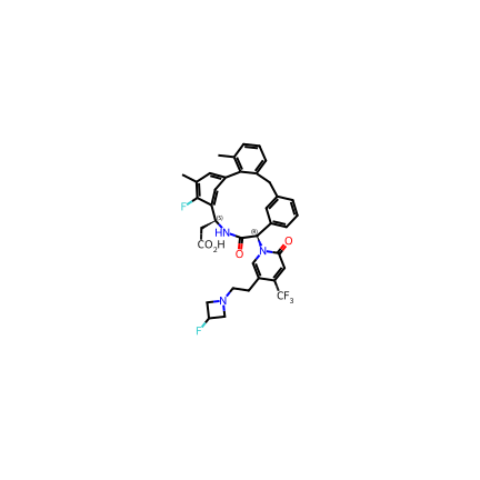 Cc1cc2cc(c1F)[C@H](CC(=O)O)NC(=O)[C@H](n1cc(CCN3CC(F)C3)c(C(F)(F)F)cc1=O)c1cccc(c1)Cc1cccc(C)c1-2